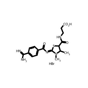 Br.CC1C(C(=O)NCCC(=O)O)SC(=NC(=O)c2ccc(C(=N)N)cc2)N1C